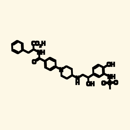 CS(=O)(=O)Nc1cc(C(O)CNC2CCN(c3ccc(C(=O)NC(Cc4ccccc4)C(=O)O)cc3)CC2)ccc1O